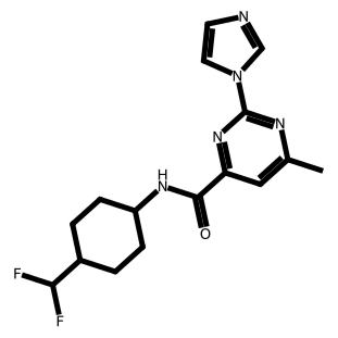 Cc1cc(C(=O)NC2CCC(C(F)F)CC2)nc(-n2ccnc2)n1